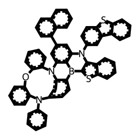 c1ccc(N2c3ccc4c(c3)N(c3ccccc3Oc3ccccc32)c2cc(-c3cccc5ccccc35)cc3c2B4c2sc4ccccc4c2N3c2ccc3sc4ccccc4c3c2)cc1